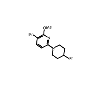 COc1nc(N2CCC(C(C)C)CC2)ccc1C(C)C